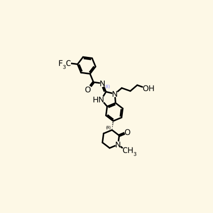 CN1CCC[C@H](c2ccc3c(c2)[nH]/c(=N\C(=O)c2cccc(C(F)(F)F)c2)n3CCCO)C1=O